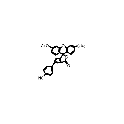 CC(=O)Oc1ccc2c(c1)Oc1cc(OC(C)=O)ccc1C21OC(=O)c2cc(-c3ccc(C#N)cc3)ccc21